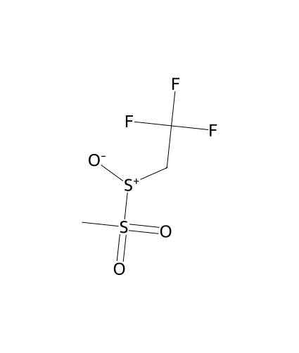 CS(=O)(=O)[S+]([O-])CC(F)(F)F